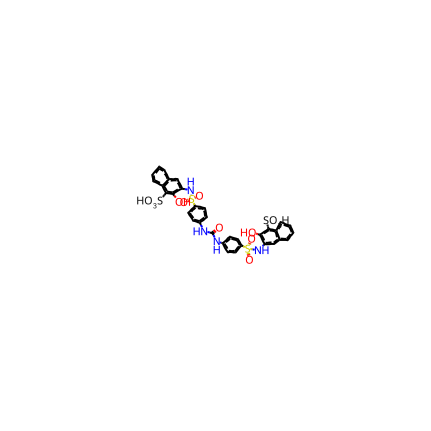 O=C(Nc1ccc(S(=O)(=O)Nc2cc3ccccc3c(S(=O)(=O)O)c2O)cc1)Nc1ccc(S(=O)(=O)Nc2cc3ccccc3c(S(=O)(=O)O)c2O)cc1